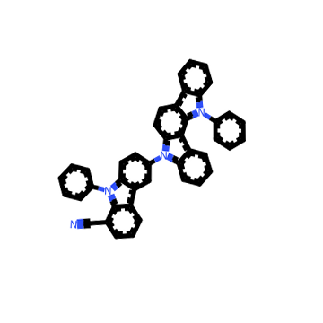 N#Cc1cccc2c3cc(-n4c5ccccc5c5c4ccc4c6ccccc6n(-c6ccccc6)c45)ccc3n(-c3ccccc3)c12